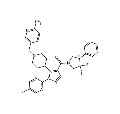 O=C(c1cnn(-c2ncc(F)cn2)c1C1CCN(Cc2ccc(C(F)(F)F)nc2)CC1)N1C[C@@H](c2ccccc2)C(F)(F)C1